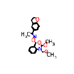 COCN(C(=O)OC)c1ccccc1CON=C(C)c1ccc2c(c1)CCO2